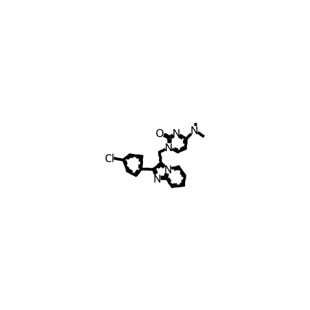 CN(C)c1ccn(Cc2c(-c3ccc(Cl)cc3)nc3ccccn23)c(=O)n1